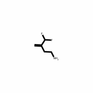 C=C(CCN)C(F)F